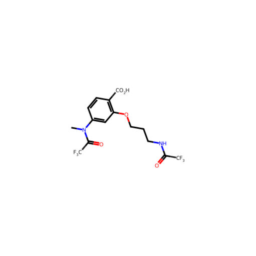 CN(C(=O)C(F)(F)F)c1ccc(C(=O)O)c(OCCCNC(=O)C(F)(F)F)c1